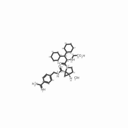 Cl.N=C(N)c1ccc(CNC(=O)[C@]23C[C@H]2CCN3C(=O)[C@H](NCC(=O)O)C(C2CCCCC2)C2CCCCC2)cc1